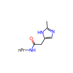 CCCNC(=O)Cc1[c]nc(C)[nH]1